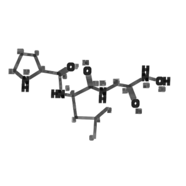 CC(C)CC(NC(=O)C1CCCN1)C(=O)NCC(=O)NO